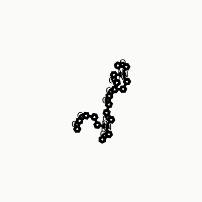 c1cc(-c2cccc(-c3nc(-c4cccc5c4oc4ccccc45)nc(-c4cccc5c4oc4ccc(-c6ccc7c(c6)oc6cc8oc9ccc(-c%10cccc(-c%11cccc(-c%12nc(-c%13cccc%14oc%15ccccc%15c%13%14)nc(-c%13cccc%14oc%15ccccc%15c%13%14)n%12)c%11)c%10)cc9c8cc67)cc45)n3)c2)cc(-c2ccc3oc4cc5oc6ccccc6c5cc4c3c2)c1